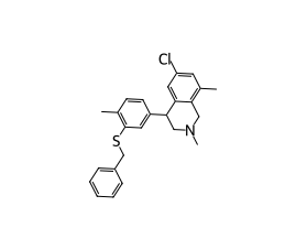 Cc1ccc(C2CN(C)Cc3c(C)cc(Cl)cc32)cc1SCc1ccccc1